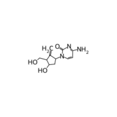 C=C1C(CO)C(O)CC1n1ccc(N)nc1=O